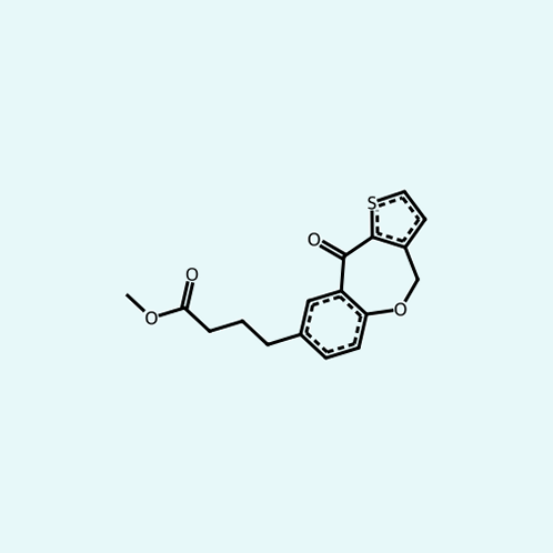 COC(=O)CCCc1ccc2c(c1)C(=O)c1sccc1CO2